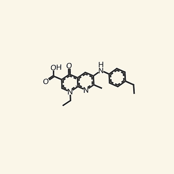 CCc1ccc(Nc2cc3c(=O)c(C(=O)O)cn(CC)c3nc2C)cc1